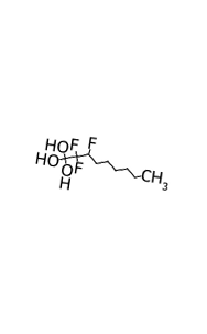 CCCCCCC(F)C(F)(F)C(O)(O)O